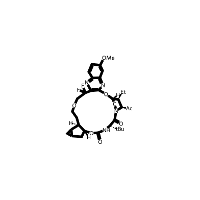 CC[C@@H]1[C@@H]2CN(C(=O)[C@H](C(C)(C)C)NC(=O)O[C@@H]3CC4CC4[C@H]3CCOCC(F)(F)c3nc4ccc(OC)cc4nc3O2)[C@@H]1C(C)=O